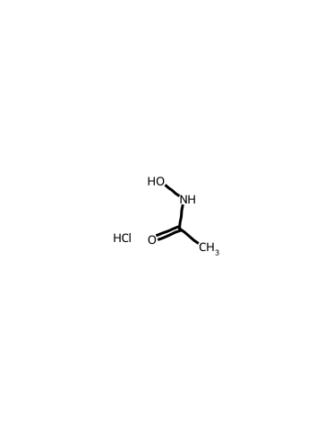 CC(=O)NO.Cl